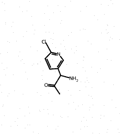 CC(=O)C(N)c1ccc(Cl)nc1